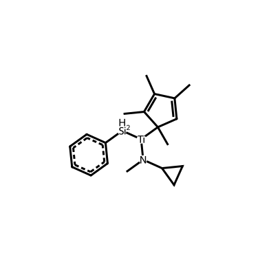 CC1=C[C](C)([Ti]([SiH2]c2ccccc2)[N](C)C2CC2)C(C)=C1C